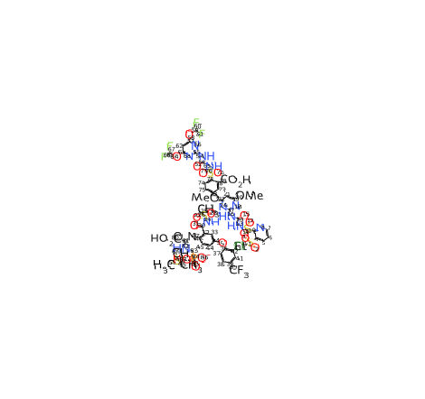 CCS(=O)(=O)c1cccnc1S(=O)(=O)NC(=O)Nc1nc(OC)cc(OC)n1.CS(=O)(=O)NC(=O)c1cc(Oc2ccc(C(F)(F)F)cc2Cl)ccc1[N+](=O)[O-].C[S+](C)C.O=C(Nc1nc(OC(F)F)cc(OC(F)F)n1)NS(=O)(=O)c1ccccc1C(=O)O.O=C(O)CNCP(=O)([O-])O